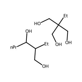 CCC(CO)(CO)CO.CCCC(O)C(CC)CO